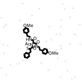 COc1ccc(CCNC(=O)C(C(=O)NCCc2ccc(OC)cc2)N(C(C)=O)C(=O)C(=S)Cc2ccccc2)cc1